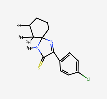 [2H]C1CCCC2(N=C(c3ccc(Cl)cc3)C(=S)N2[2H])C1([2H])[2H]